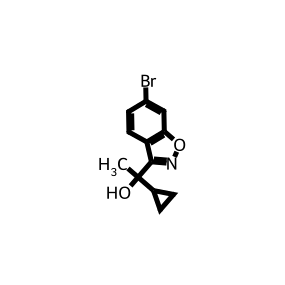 CC(O)(c1noc2cc(Br)ccc12)C1CC1